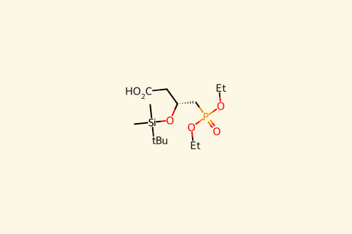 CCOP(=O)(C[C@@H](CC(=O)O)O[Si](C)(C)C(C)(C)C)OCC